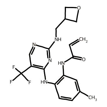 C=CC(=O)Nc1cc(C)ccc1Nc1nc(NCC2COC2)ncc1C(F)(F)F